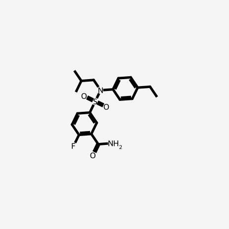 CCc1ccc(N(CC(C)C)S(=O)(=O)c2ccc(F)c(C(N)=O)c2)cc1